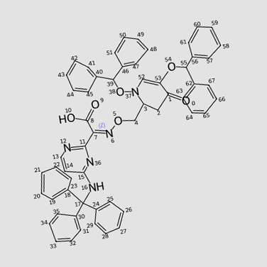 O=C1CC(CO/N=C(\C(=O)O)c2nccc(NC(c3ccccc3)(c3ccccc3)c3ccccc3)n2)N(OC(c2ccccc2)c2ccccc2)C=C1OC(c1ccccc1)c1ccccc1